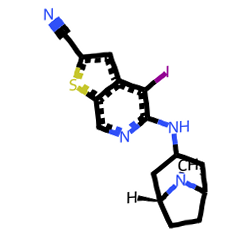 CN1C2CC[C@@H]1CC(Nc1ncc3sc(C#N)cc3c1I)C2